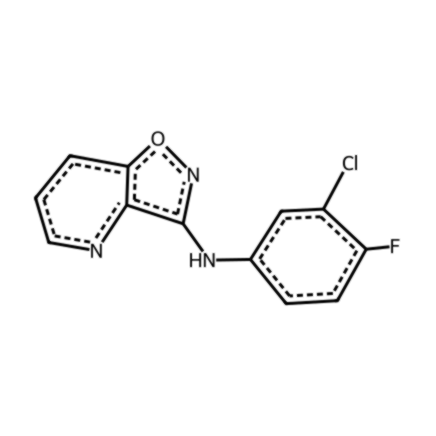 Fc1ccc(Nc2noc3cccnc23)cc1Cl